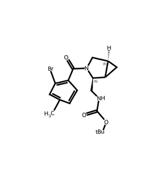 Cc1ccc(C(=O)N2C[C@H]3CC3[C@H]2CNC(=O)OC(C)(C)C)c(Br)c1